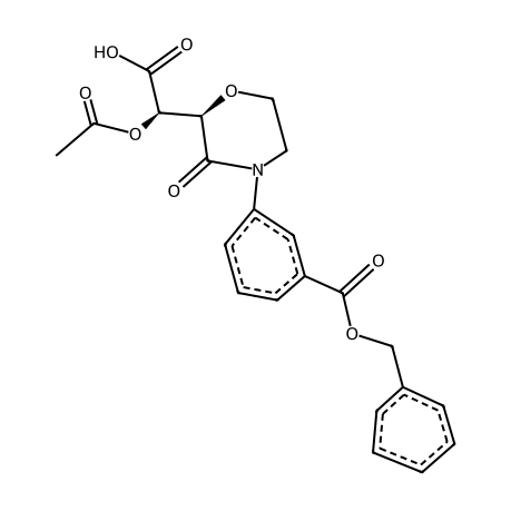 CC(=O)O[C@@H](C(=O)O)[C@H]1OCCN(c2cccc(C(=O)OCc3ccccc3)c2)C1=O